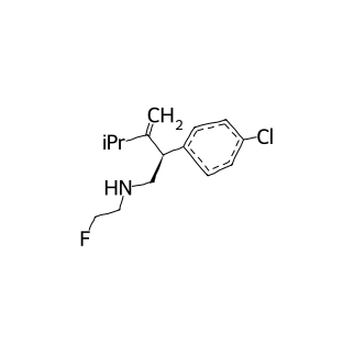 C=C(C(C)C)[C@H](CNCCF)c1ccc(Cl)cc1